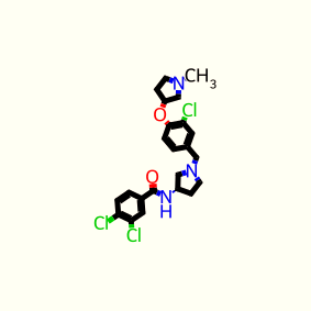 CN1CCC(Oc2ccc(CN3CC[C@H](NC(=O)c4ccc(Cl)c(Cl)c4)C3)cc2Cl)C1